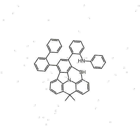 CC1(C)c2cccc3c2-n2c4c1cccc4c1c(-c4ccccc4-c4ccccc4)cc(-c4ccccc4Nc4ccccc4)c(c12)B3